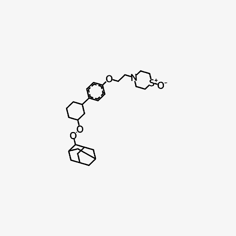 [O-][S+]1CCN(CCOc2ccc(C3CCCC(OOC4C5CC6CC(C5)CC4C6)C3)cc2)CC1